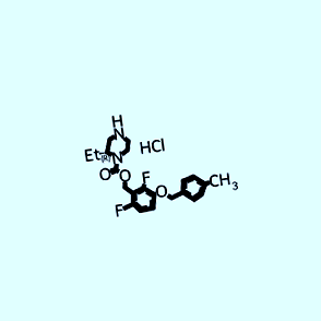 CC[C@@H]1CNCCN1C(=O)OCc1c(F)ccc(OCc2ccc(C)cc2)c1F.Cl